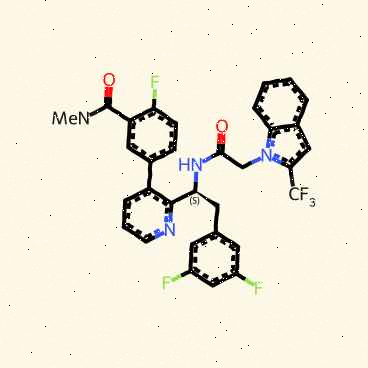 CNC(=O)c1cc(-c2cccnc2[C@H](Cc2cc(F)cc(F)c2)NC(=O)Cn2c(C(F)(F)F)cc3ccccc32)ccc1F